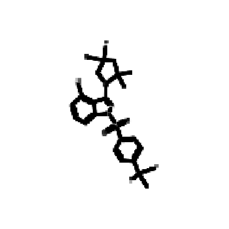 CC(F)(F)c1ccc(S(=O)(=O)n2nc(N3CC(F)(F)CC3(C)C)c3c(Cl)cccc32)cc1